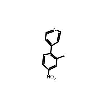 O=[N+]([O-])c1ccc(-c2ccncc2)c(I)c1